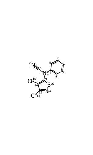 N#CN(c1ccccc1)c1snc(Cl)c1Cl